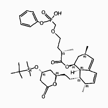 C[C@H]1C=C2C=C[C@H](C)[C@H](CC[C@@H]3C[C@@H](O[Si](C)(C)C(C)(C)C)CC(=O)O3)[C@H]2[C@@H](OC(=O)[C@@H](C)CCOCP(=O)(O)Oc2ccccc2)C1